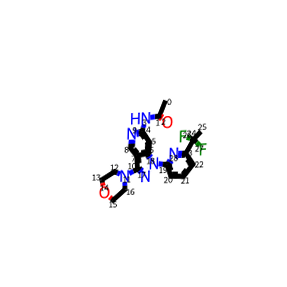 CC(=O)Nc1cc2c(cn1)c(N1CCOCC1)nn2-c1cccc(C(C)(F)F)n1